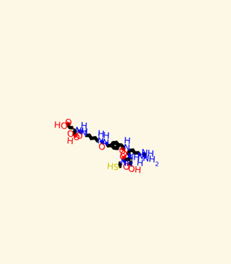 N=C(N)NCCCC(NC(=O)Cc1ccc(CNC(=O)NCCCCCNC(=O)N[C@@H](CCC(=O)O)C(=O)O)cc1)C(=O)N[C@@H](CC(=O)O)C(=O)NCCS